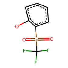 [O]c1ccccc1S(=O)(=O)C(F)(F)F